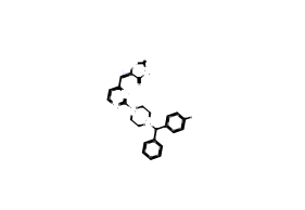 O=C1NC(=O)/C(=C\c2ccnc(N3CCN(C(c4ccccc4)c4ccc(F)cc4)CC3)n2)S1